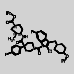 CCc1c(CC2CCC(OC(C)C)CC2)c2ccc(F)cc2n1C(=O)N1CCC(C(=O)N[C@H]2CC[C@H](C(=O)OC(C)C)C[C@@H]2C)(c2ccc(F)cc2)CC1